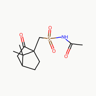 CC(=O)NS(=O)(=O)CC12CCC(CC1=O)C2(C)C